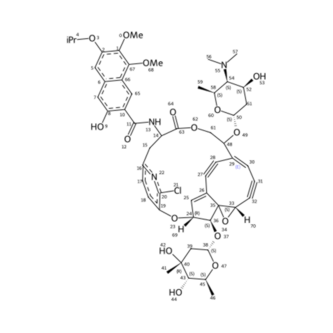 COc1c(OC(C)C)cc2cc(O)c(C(=O)NC3Cc4ccc(c(Cl)n4)O[C@@H]4C=C5C#C/C(=C\C#C[C@@H]6OC56[C@H]4O[C@H]4C[C@@](C)(O)[C@@H](O)[C@H](C)O4)C(O[C@H]4C[C@H](O)[C@H](N(C)C)[C@H](C)O4)COC3=O)cc2c1OC